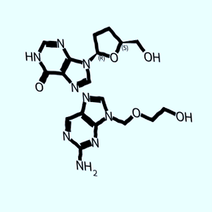 Nc1ncc2ncn(COCCO)c2n1.O=c1[nH]cnc2c1ncn2[C@H]1CC[C@@H](CO)O1